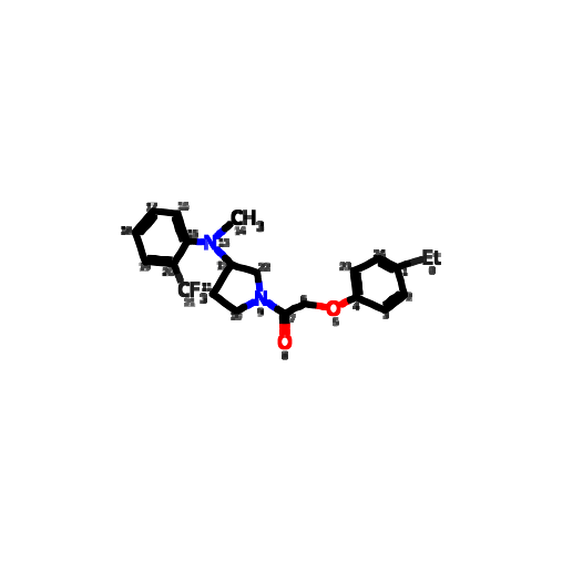 CCc1ccc(OCC(=O)N2CCC(N(C)c3ccccc3C(F)(F)F)C2)cc1